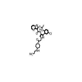 N#CCCNC1CCN(C(=O)Cn2cc(NC(=O)c3cnn4cccnc34)c(-c3cc(Cl)ccc3OC(F)F)n2)CC1